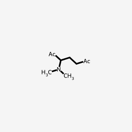 CC(=O)CCC(C(C)=O)N(C)C